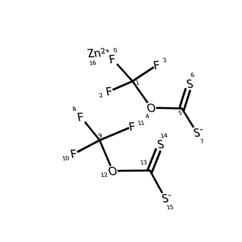 FC(F)(F)OC(=S)[S-].FC(F)(F)OC(=S)[S-].[Zn+2]